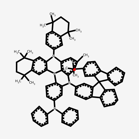 Cc1cc2c3c(c1)N(c1ccc4c(c1)C(C)(C)CCC4(C)C)c1cc4c(cc1B3c1ccc(N(c3ccccc3)c3ccccc3)cc1N2c1ccc2c(c1)C1(c3ccccc3-2)c2ccccc2-c2ccc(C(C)(C)C)cc21)C(C)(C)CCC4(C)C